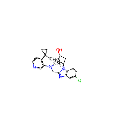 CN(Cc1nc2cc(Cl)ccc2n1C1CC(O)C1)c1cnccc1C1(C=O)CC1